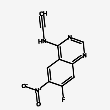 C#CNc1ncnc2cc(F)c([N+](=O)[O-])cc12